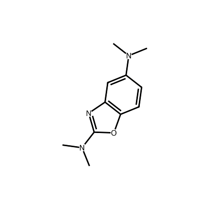 CN(C)c1ccc2oc(N(C)C)nc2c1